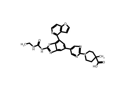 CCNC(=O)Nc1nc2cc(-c3cnc(N4CCC(C)(C(=O)O)CC4)nc3)cc(-c3nccc4occc34)c2s1